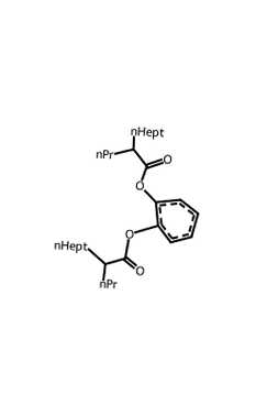 CCCCCCCC(CCC)C(=O)Oc1ccccc1OC(=O)C(CCC)CCCCCCC